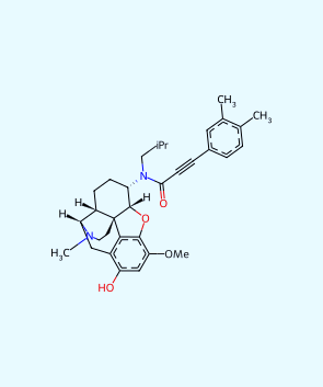 COc1cc(O)c2c3c1O[C@H]1[C@@H](N(CC(C)C)C(=O)C#Cc4ccc(C)c(C)c4)CC[C@H]4[C@@H](C2)N(C)CC[C@@]341